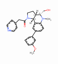 COc1cccc(-c2ccc3c(c2)[C@H]2[C@H](CCN2C(=O)Cc2ccncc2)[C@H](CO)N3C)c1